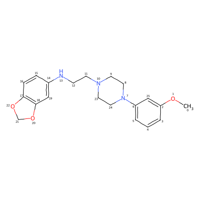 COc1cccc(N2CCN(CCNc3ccc4c(c3)OCO4)CC2)c1